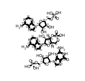 Nc1nc2c(ncn2[C@@H]2O[C@H](COP(=O)(O)O)[C@@H](O)[C@H]2O)c(=O)[nH]1.Nc1ncnc2c1ncn2[C@@H]1O[C@@H]2COP(=O)(O)O[C@H]2[C@H]1O.Nc1ncnc2c1ncn2[C@@H]1O[C@H](COP(=O)(O)O)[C@@H](O)[C@H]1O